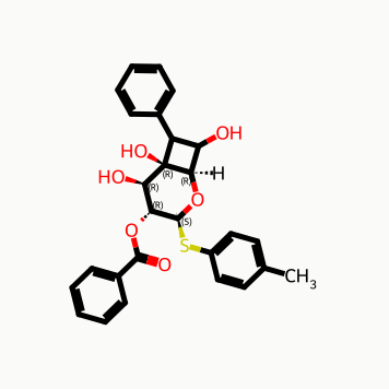 Cc1ccc(S[C@@H]2O[C@@H]3C(O)C(c4ccccc4)[C@@]3(O)[C@H](O)[C@H]2OC(=O)c2ccccc2)cc1